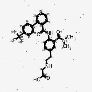 CN(C)C(=O)c1cc(CCNCC(=O)O)ccc1NC(=O)c1ccccc1-c1ccc(C(F)(F)F)cc1